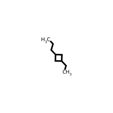 CCCC1CC(CC)C1